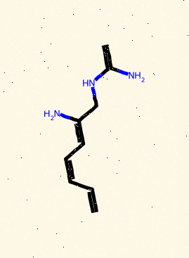 C=C/C=C\C=C(/N)CNC(=C)N